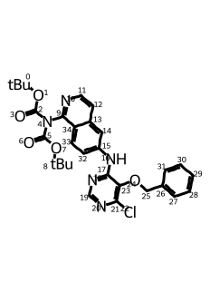 CC(C)(C)OC(=O)N(C(=O)OC(C)(C)C)c1nccc2cc(Nc3ncnc(Cl)c3OCc3ccccc3)ccc12